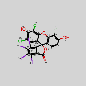 O=C1OC2(c3ccc(O)c(Cl)c3Oc3c(Cl)c(O)c(Cl)c(Cl)c32)c2c(I)c(I)c(I)c(I)c21